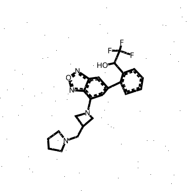 OC(c1ccccc1-c1cc(N2CC(CN3CCCC3)C2)c2nonc2c1)C(F)(F)F